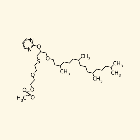 CC(C)CCCC(C)CCCC(C)CCCC(C)CCOCC(CSCCOCCOS(C)(=O)=O)Oc1ncccn1